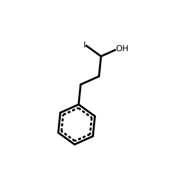 OC(I)CCc1ccccc1